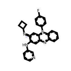 Fc1ccc(-n2c3c/c(=N\C4CCC4)c(Nc4cccnc4)cc-3nc3ccccc32)cc1